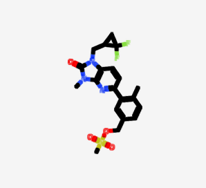 Cc1ccc(COS(C)(=O)=O)cc1-c1ccc2c(n1)n(C)c(=O)n2CC1CC1(F)F